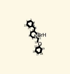 Br.c1ccc(CC2CCCN(CCOc3ccccc3)C2)cc1